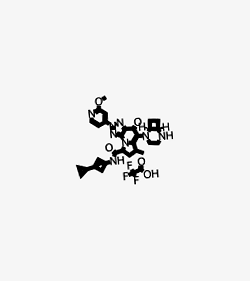 COc1cc(-n2nc3c(=O)c(N4CCN[C@H]5CC[C@@H]54)c4n(c3n2)C(C(=O)NC23CC(C5CC5)(C2)C3)CC4C)ccn1.O=C(O)C(F)(F)F